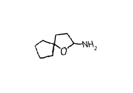 NC1CCC2(CCCC2)O1